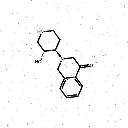 O=C1CN([C@@H]2CCNC[C@H]2O)Cc2ccccc21